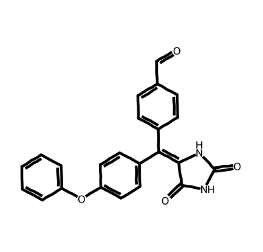 O=Cc1ccc(C(=C2NC(=O)NC2=O)c2ccc(Oc3ccccc3)cc2)cc1